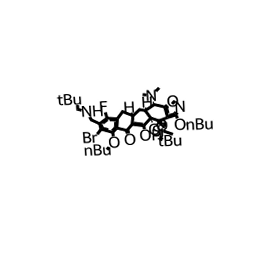 CCCCOc1noc2c1C(=O)[C@@]1(O[Si](C)(C)C(C)(C)C)C(O)=C3C(=O)c4c(c(F)c(CNCC(C)(C)C)c(Br)c4OCCCC)C[C@H]3C[C@H]1[C@@H]2N(C)C